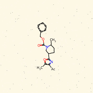 CC(=O)c1nc(C2CCC(C)N(C(=O)OCc3ccccc3)C2)oc1C